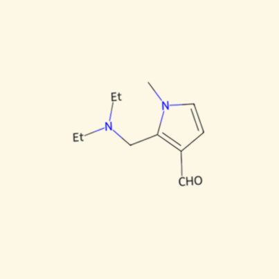 CCN(CC)Cc1c(C=O)ccn1C